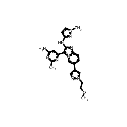 COCCn1cc(-c2ccc3nc(Nc4ccn(C)n4)c(-c4cc(N)nc(C)n4)n3c2)cn1